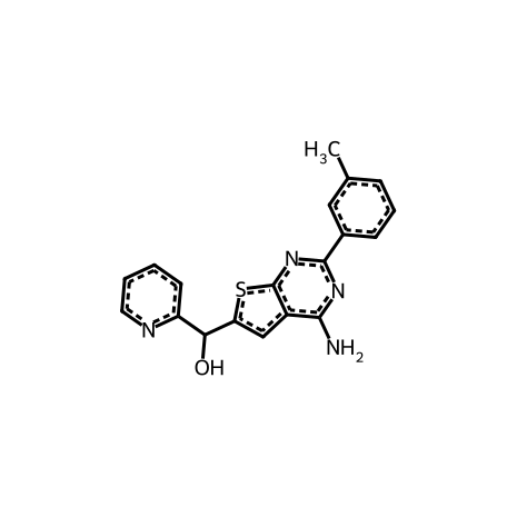 Cc1cccc(-c2nc(N)c3cc(C(O)c4ccccn4)sc3n2)c1